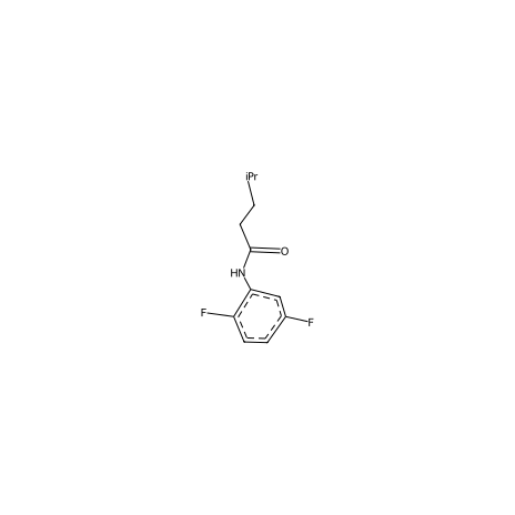 CC(C)CCC(=O)Nc1cc(F)ccc1F